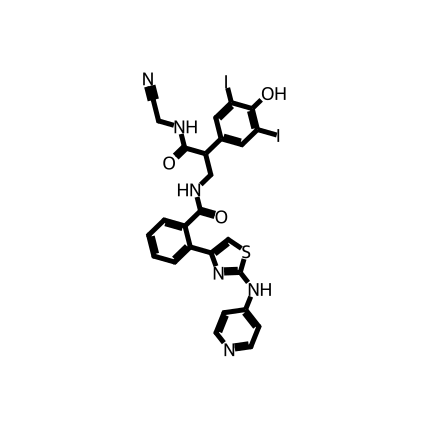 N#CCNC(=O)C(CNC(=O)c1ccccc1-c1csc(Nc2ccncc2)n1)c1cc(I)c(O)c(I)c1